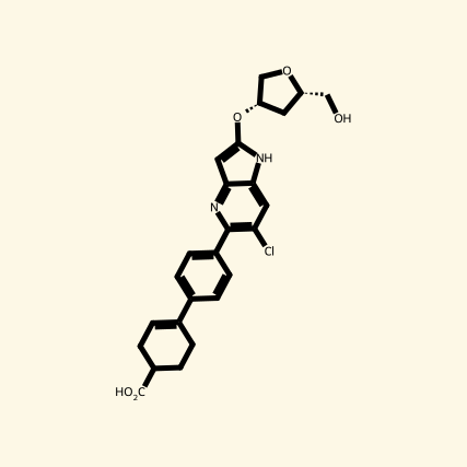 O=C(O)C1CC=C(c2ccc(-c3nc4cc(O[C@@H]5CO[C@H](CO)C5)[nH]c4cc3Cl)cc2)CC1